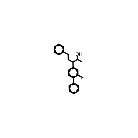 CC(O)C(CCc1ccccc1)c1ccc(-c2ccccc2)c(F)c1